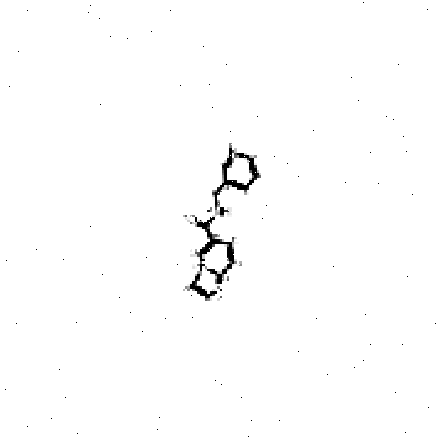 O=C(NCc1cccnc1)c1ccc2nccn2c1